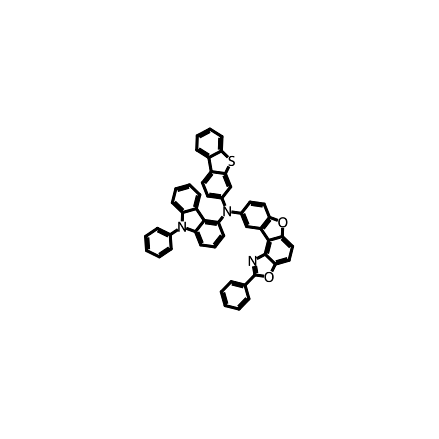 c1ccc(-c2nc3c(ccc4oc5ccc(N(c6ccc7c(c6)sc6ccccc67)c6cccc7c6c6ccccc6n7-c6ccccc6)cc5c43)o2)cc1